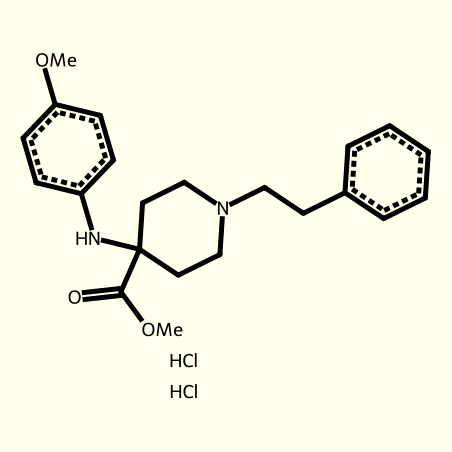 COC(=O)C1(Nc2ccc(OC)cc2)CCN(CCc2ccccc2)CC1.Cl.Cl